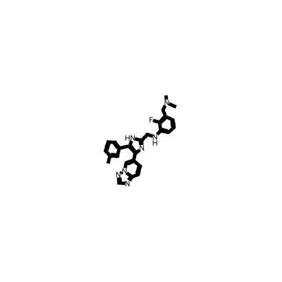 Cc1cccc(-c2[nH]c(CNc3cccc(CN(C)C)c3F)nc2-c2ccc3ncnn3c2)c1